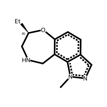 CC[C@@H]1CNCc2c(ccc3cnn(C)c23)O1